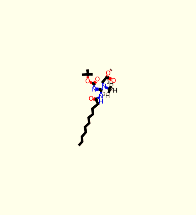 [2H]C([2H])([2H])N(CC(=O)OC)/C(=N\C(=O)OC(C)(C)C)NC(=O)CCCCCCCCCC